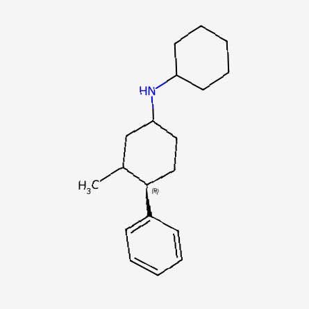 CC1CC(NC2CCCCC2)CC[C@H]1c1ccccc1